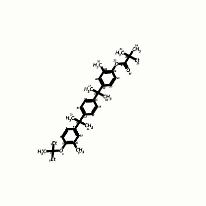 CCC(C)(CC)Oc1ccc(C(C)(C)c2ccc(C(C)(C)c3ccc(OC(=O)C(C)(C)CC)c(C)c3)cc2)cc1C